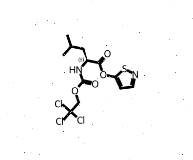 CC(C)C[C@H](NC(=O)OCC(Cl)(Cl)Cl)C(=O)Oc1ccns1